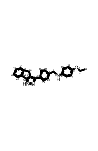 CCOc1ccc(NCc2ccc(-c3n[nH]c4c3Cc3ccccc3-4)cc2)cc1